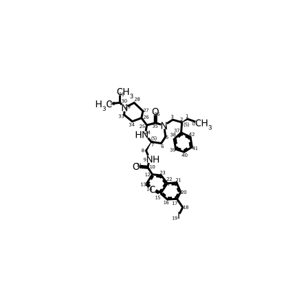 CC[C@H](CN1CC[C@@H](CNC(=O)c2ccc3cc(CI)ccc3c2)NC(C2CCN(C(C)C)CC2)C1=O)c1ccccc1